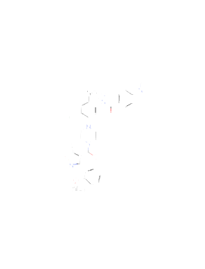 CCCCOc1ccccc1-c1noc(C)c1C(=O)N1CCN(c2cc(NC(=O)c3ccc(N(C)C)cc3)c([N+](=O)[O-])cc2Cl)CC1